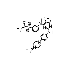 Cc1cnc(Nc2ccc(N3CCN(C)CC3)cc2)nc1Nc1cccc(S(=O)(=O)N(C)C)c1